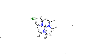 CC(C)[N](C(C)C)[Ti]([N](C(C)C)C(C)C)[N](C(C)C)C(C)C.Cl